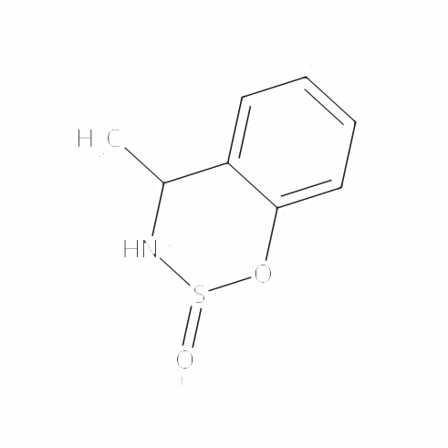 CC1NS(=O)Oc2ccccc21